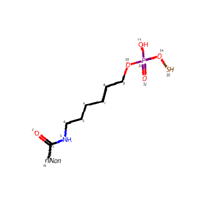 CCCCCCCCCC(=O)NCCCCCCOP(=O)(O)OS